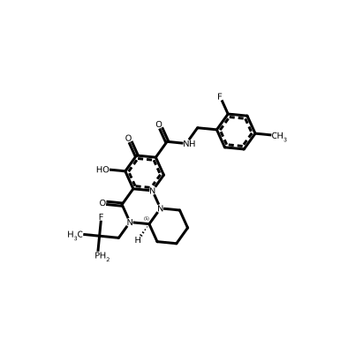 Cc1ccc(CNC(=O)c2cn3c(c(O)c2=O)C(=O)N(CC(C)(F)P)[C@@H]2CCCCN23)c(F)c1